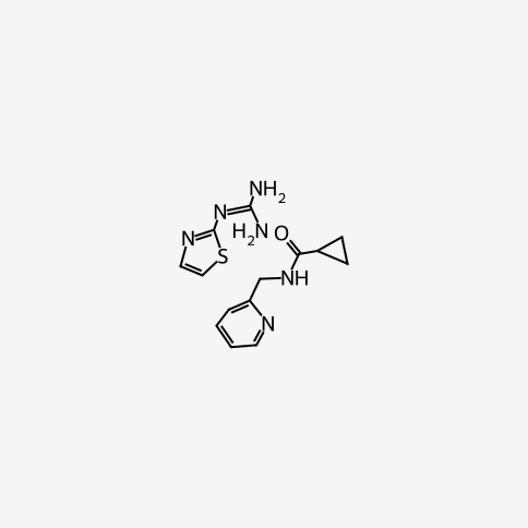 NC(N)=Nc1nccs1.O=C(NCc1ccccn1)C1CC1